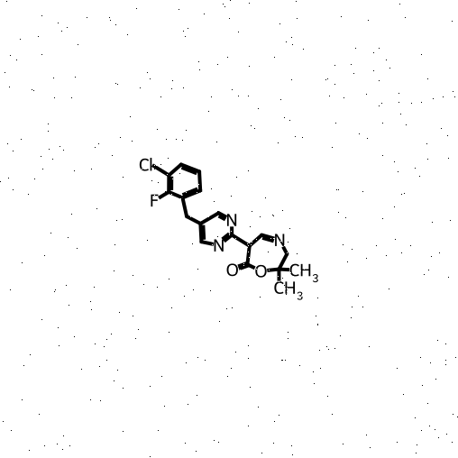 CC1(C)CN=CC(c2ncc(Cc3cccc(Cl)c3F)cn2)C(=O)O1